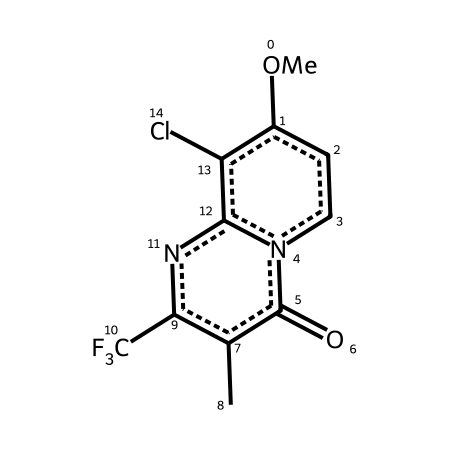 COc1ccn2c(=O)c(C)c(C(F)(F)F)nc2c1Cl